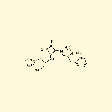 CC[C@H](Cc1ccsc1)Nc1c(NC[C@H](Cc2ccccc2)N(C)C)c(=O)c1=O